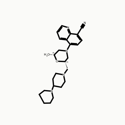 C[C@@H]1CN(c2ccc(C#N)c3ncccc23)C[C@H](CN2CCC(N3CCCCC3)CC2)O1